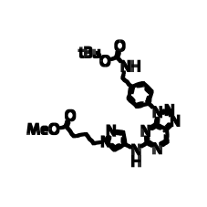 COC(=O)CCCn1cc(Nc2ncc3nnn(-c4ccc(CNC(=O)OC(C)(C)C)cc4)c3n2)cn1